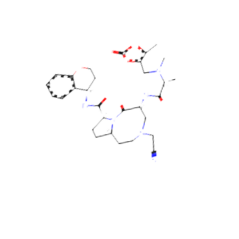 Cc1oc(=O)oc1CN(C)[C@@H](C)C(=O)N[C@H]1CN(CC#N)CC[C@H]2CC[C@@H](C(=O)N[C@@H]3CCOc4ccccc43)N2C1=O